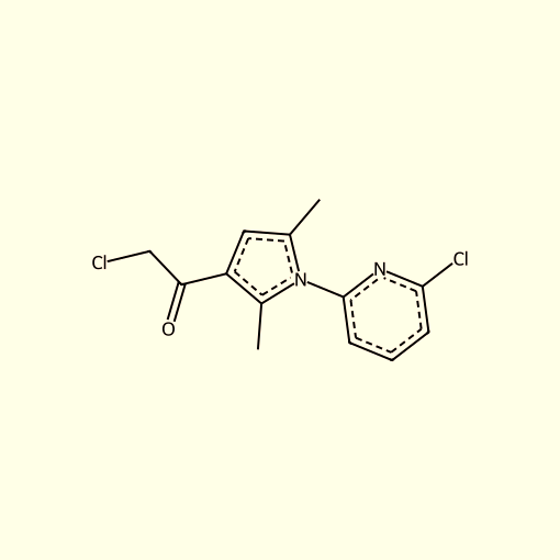 Cc1cc(C(=O)CCl)c(C)n1-c1cccc(Cl)n1